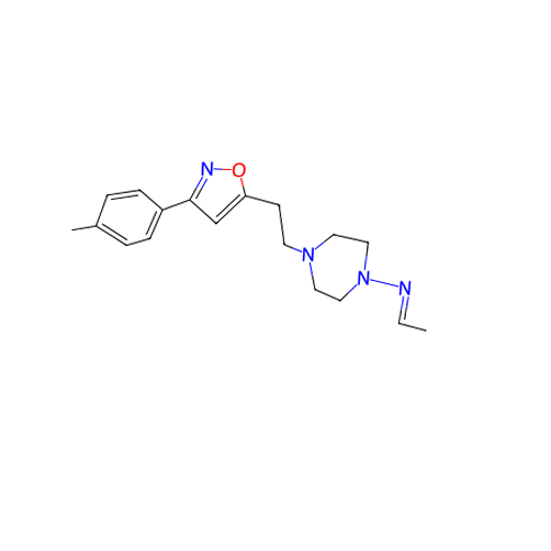 C/C=N/N1CCN(CCc2cc(-c3ccc(C)cc3)no2)CC1